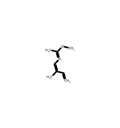 C=C/C(C)=C\N=C(/C)OC